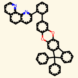 c1ccc(C2(c3ccccc3)c3ccccc3-c3cc4c(cc32)Oc2ccc(-c3ccccc3-c3ccc5ccc6cccnc6c5n3)cc2O4)cc1